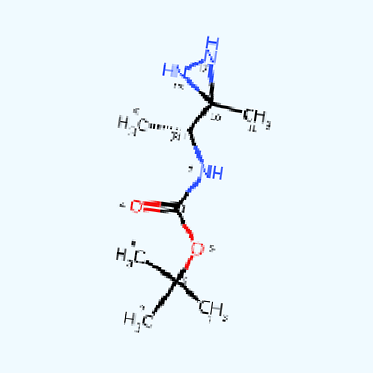 C[C@@H](NC(=O)OC(C)(C)C)C1(C)NN1